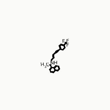 C[C@@H](NC/C=C/C#Cc1ccc(C(F)(F)F)cc1)c1cccc2ccccc12